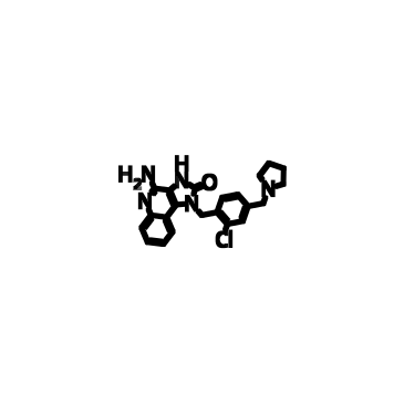 Nc1nc2ccccc2c2c1[nH]c(=O)n2Cc1ccc(CN2CCCC2)cc1Cl